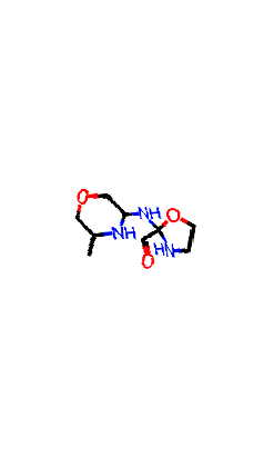 CC1COCC(NC2(C=O)NCCO2)N1